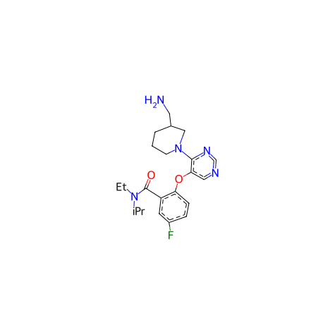 CCN(C(=O)c1cc(F)ccc1Oc1cncnc1N1CCCC(CN)C1)C(C)C